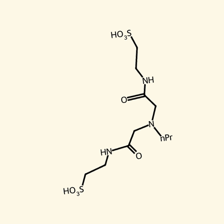 CCCN(CC(=O)NCCS(=O)(=O)O)CC(=O)NCCS(=O)(=O)O